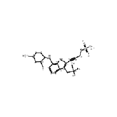 CN1CCC(Nc2cccc3c(CC(F)(F)F)c(C#CCOS(C)(=O)=O)sc23)C(F)C1